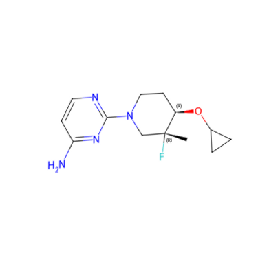 C[C@@]1(F)CN(c2nccc(N)n2)CC[C@H]1OC1CC1